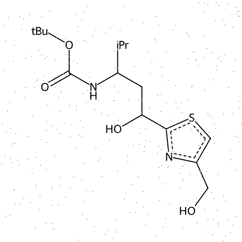 CC(C)C(CC(O)c1nc(CO)cs1)NC(=O)OC(C)(C)C